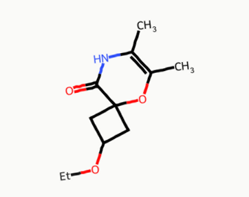 CCOC1CC2(C1)OC(C)=C(C)NC2=O